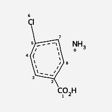 N.O=C(O)c1ccc(Cl)cc1